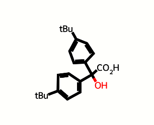 CC(C)(C)c1ccc(C(O)(C(=O)O)c2ccc(C(C)(C)C)cc2)cc1